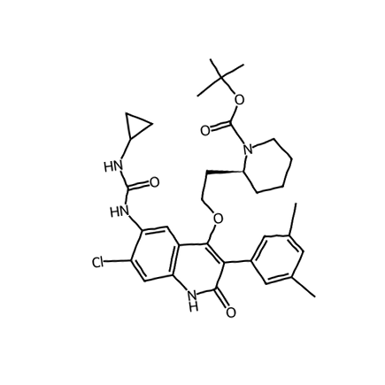 Cc1cc(C)cc(-c2c(OCC[C@@H]3CCCCN3C(=O)OC(C)(C)C)c3cc(NC(=O)NC4CC4)c(Cl)cc3[nH]c2=O)c1